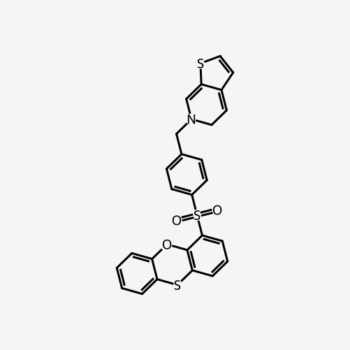 O=S(=O)(c1ccc(CN2C=c3sccc3=CC2)cc1)c1cccc2c1Oc1ccccc1S2